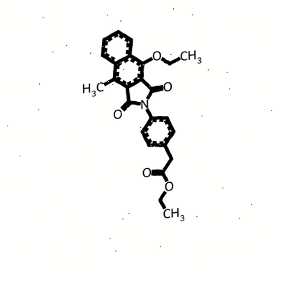 CCOC(=O)Cc1ccc(N2C(=O)c3c(c(OCC)c4ccccc4c3C)C2=O)cc1